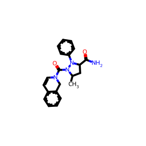 CC1CC(C(N)=O)N(c2ccccc2)N1C(=O)N1C=Cc2ccccc2C1